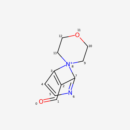 O=Cc1c2ccnc1[N+]21CCOCC1